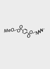 COCCOC(=O)c1ccc(C(=O)OCCN=[N+]=[N-])cc1